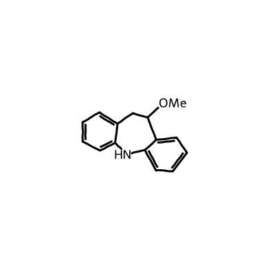 COC1Cc2ccccc2Nc2ccccc21